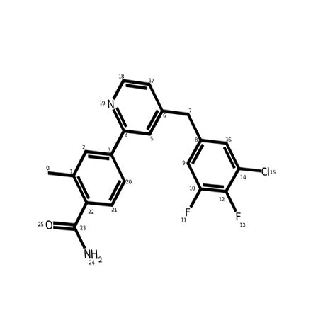 Cc1cc(-c2cc(Cc3cc(F)c(F)c(Cl)c3)ccn2)ccc1C(N)=O